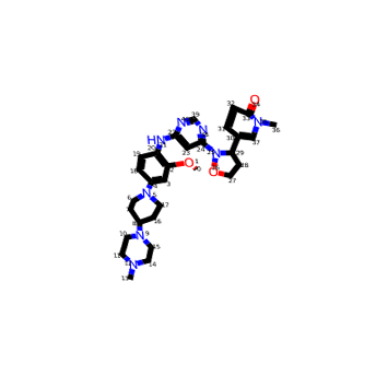 COc1cc(N2CCC(N3CCN(C)CC3)CC2)ccc1Nc1cc(N2OCCC2c2ccc(=O)n(C)c2)ncn1